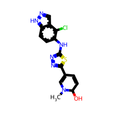 CN1C=C(c2nnc(Nc3ccc4[nH]ncc4c3Cl)s2)C=CC1O